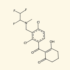 CN(Cc1c(Cl)ccc(C(=O)C2=C(O)CCCC2=O)c1Cl)C(F)C(F)F